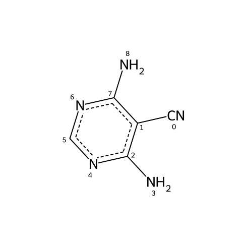 N#Cc1c(N)ncnc1N